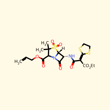 C=CCOC(=O)C1N2C(=O)[C@@H](NC(=O)C(C(=O)OCC)=C3SCCS3)[C@H]2S(=O)(=O)C1(C)C